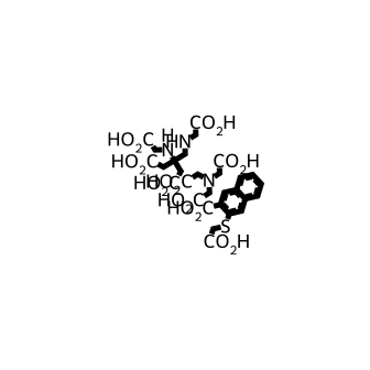 O=C(O)CN(CC(=O)O)CC(=O)O.O=C(O)CNCC(CC(=O)O)(CC(=O)O)NCC(=O)O.O=C(O)CSc1cc2ccccc2cc1C(=O)O